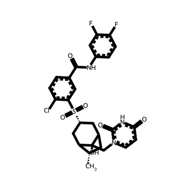 C[C@H]1CC2C[C@@H](S(=O)(=O)c3cc(C(=O)Nc4ccc(F)c(F)c4)ccc3Cl)CC1[C@@]2(O)Cn1ccc(=O)[nH]c1=O